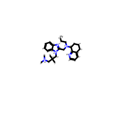 CC(C)CCN(Cc1nc2ccccc2n1CC(C)(C)CN(C)C)C1CCCc2cccnc21